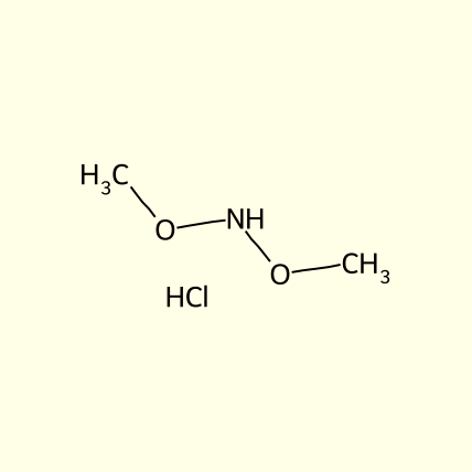 CONOC.Cl